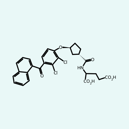 O=C(O)CCC(NC(=O)[C@H]1CC[C@H](Oc2ccc(C(=O)c3cccc4ccccc34)c(Cl)c2Cl)C1)C(=O)O